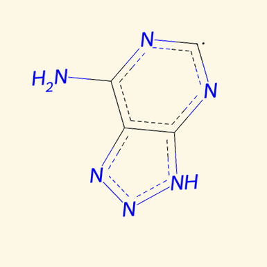 Nc1n[c]nc2[nH]nnc12